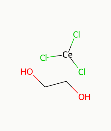 OCCO.[Cl][Ce]([Cl])[Cl]